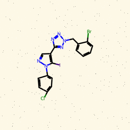 Clc1ccc(-n2ncc(-c3nnn(Cc4ccccc4Br)n3)c2I)cc1